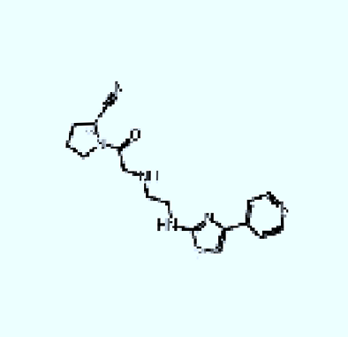 N#C[C@@H]1CCCN1C(=O)CNCCNc1nc(-c2ccncc2)cs1